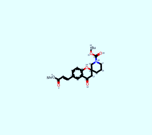 COC(=O)C=Cc1ccc2c(c1)C(=O)CC1(CCCN(C(=O)OC(C)(C)C)C1)O2